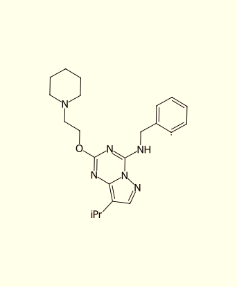 CC(C)c1cnn2c(NCc3[c]cccc3)nc(OCCN3CCCCC3)nc12